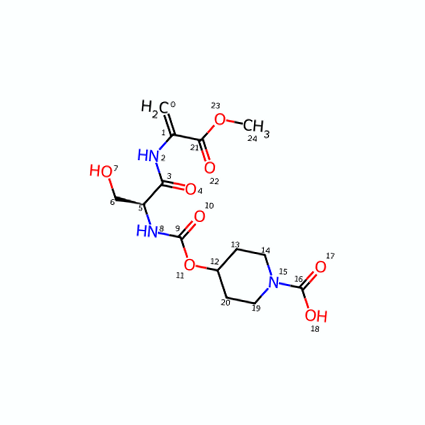 C=C(NC(=O)[C@H](CO)NC(=O)OC1CCN(C(=O)O)CC1)C(=O)OC